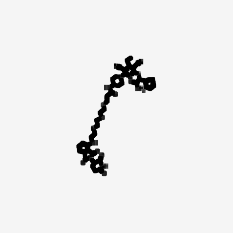 CCc1c(C#N)c(SC(C(N)=O)c2ccccc2)nc(N2CCC(NC(=O)C=COCCOCCOCCNc3cccc4c3C(=O)N(C3CCC(=O)NC3=O)C4=O)CC2)c1C#N